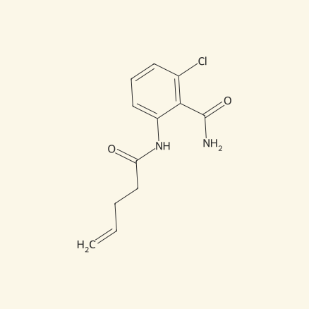 C=CCCC(=O)Nc1cccc(Cl)c1C(N)=O